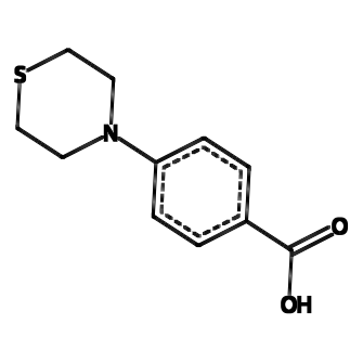 O=C(O)c1ccc(N2CCSCC2)cc1